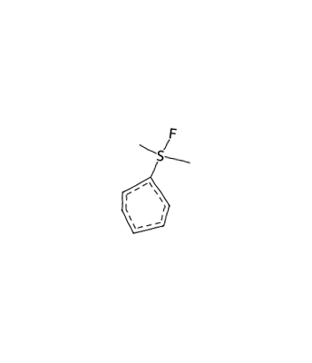 CS(C)(F)c1ccccc1